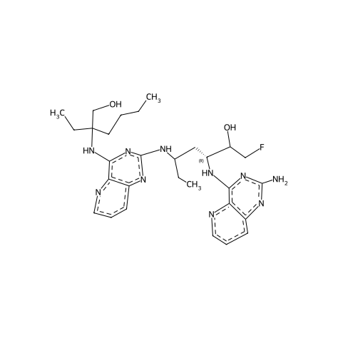 CCCCC(CC)(CO)Nc1nc(NC(CC)C[C@@H](Nc2nc(N)nc3cccnc23)C(O)CF)nc2cccnc12